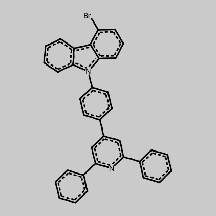 Brc1cccc2c1c1ccccc1n2-c1ccc(-c2cc(-c3ccccc3)nc(-c3ccccc3)c2)cc1